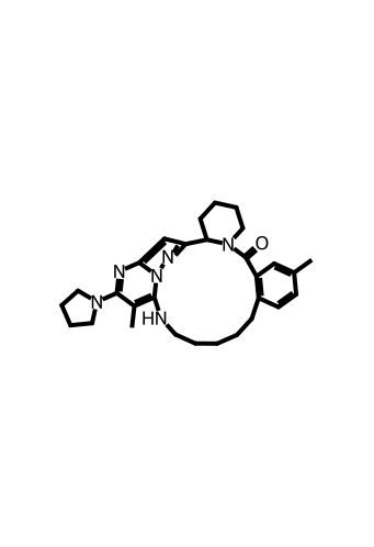 Cc1ccc2c(c1)C(=O)N1CCCCC1c1cc3nc(N4CCCC4)c(C)c(n3n1)NCCCCC2